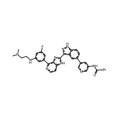 CCCC(=O)Nc1cncc(-c2ccc3[nH]nc(-c4nc5c(-c6cc(F)cc(NCCN(C)C)c6)nccc5[nH]4)c3c2)c1